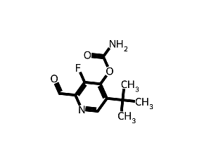 CC(C)(C)c1cnc(C=O)c(F)c1OC(N)=O